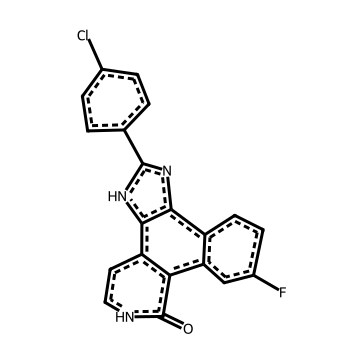 O=c1[nH]ccc2c3[nH]c(-c4ccc(Cl)cc4)nc3c3ccc(F)cc3c12